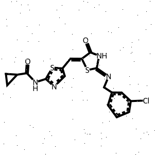 O=C1N/C(=N/Cc2cccc(Cl)c2)S/C1=C\c1cnc(NC(=O)C2CC2)s1